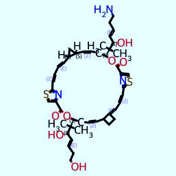 CC(C)([C@@H]1C/C=C\[C@H]2C[C@H]2/C=C/C=C\c2nc(cs2)C(=O)O[C@H](C(C)(C)[C@@H](O)/C=C/CCO)C/C=C\C2CC/C2=C\C=C/c2nc(cs2)C(=O)O1)[C@@H](O)/C=C/CCN